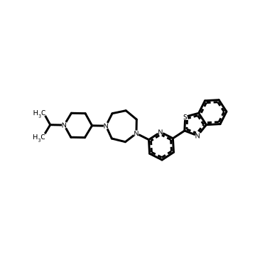 CC(C)N1CCC(N2CCCN(c3cccc(-c4nc5ccccc5s4)n3)CC2)CC1